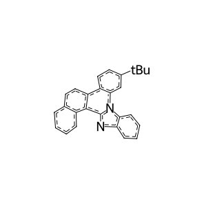 CC(C)(C)c1ccc2c3ccc4ccccc4c3c3nc4ccccc4n3c2c1